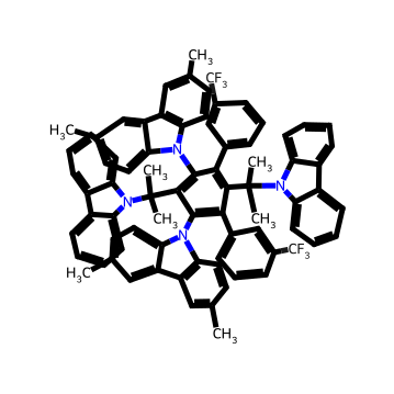 Cc1ccc2c(c1)c1cc(C)ccc1n2-c1c(-c2cccc(C(F)(F)F)c2)c(C(C)(C)n2c3ccccc3c3ccccc32)c(-c2cccc(C(F)(F)F)c2)c(-n2c3ccc(C)cc3c3cc(C)ccc32)c1C(C)(C)n1c2ccccc2c2ccccc21